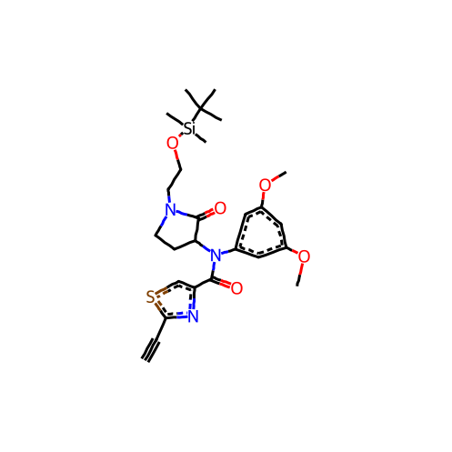 C#Cc1nc(C(=O)N(c2cc(OC)cc(OC)c2)C2CCN(CCO[Si](C)(C)C(C)(C)C)C2=O)cs1